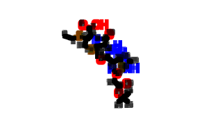 CCSC1=C(C(=O)O)N2C(=O)C(NC(=O)/C(=N/OCC(=O)OC(C)(C)C)C3(N)N=CNS3)[C@H]2SC1